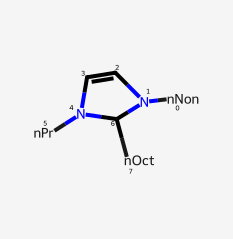 CCCCCCCCCN1C=CN(CCC)C1CCCCCCCC